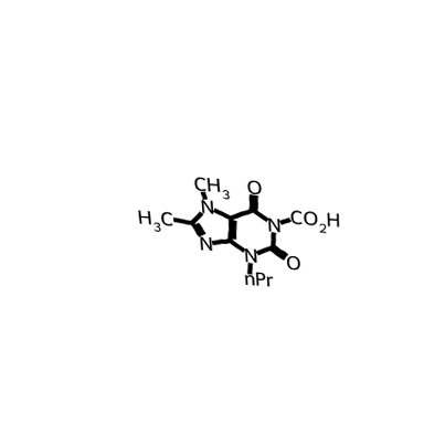 CCCn1c(=O)n(C(=O)O)c(=O)c2c1nc(C)n2C